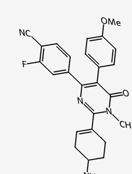 COc1ccc(-c2c(-c3ccc(C#N)c(F)c3)nc(C3=CCC(N)CC3)n(C)c2=O)cc1